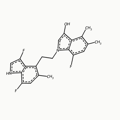 Cc1cc(F)c2[nH]cc(F)c2c1CCn1cc(O)c2c(C)c(C)cc(F)c21